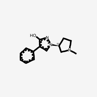 CN1CC[C@H](n2cc(-c3ccccc3)c(O)n2)C1